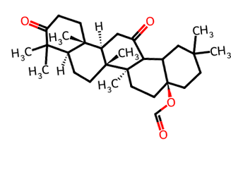 CC1(C)CC[C@]2(OC=O)CC[C@]3(C)C(C(=O)C[C@@H]4[C@@]5(C)CCC(=O)C(C)(C)[C@@H]5CC[C@]43C)C2C1